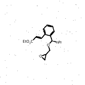 CCC[C@@H](OCC1CO1)c1ccccc1/C=C/C(=O)OCC